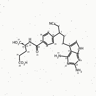 N#CCC(CCc1c[nH]c2nc(N)nc(N)c12)c1ccc(C(=O)N[C@@H](CCC(=O)O)C(=O)O)cc1